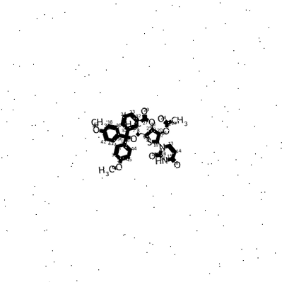 COc1ccc(C(OC[C@H]2S[C@@H](n3ccc(=O)[nH]c3=O)[C@H](OC(C)=O)[C@@H]2OC(C)=O)(c2ccccc2)c2ccc(OC)cc2)cc1